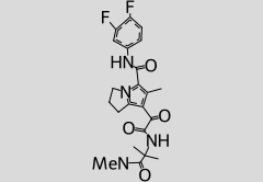 CNC(=O)C(C)(C)NC(=O)C(=O)c1c(C)c(C(=O)Nc2ccc(F)c(F)c2)n2c1CCC2